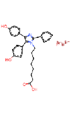 O=C(O)CCCCCCCn1c(-c2ccccc2)nc(-c2ccc(O)cc2)c1-c1ccc(O)cc1.[B+3].[Br-].[Br-].[Br-]